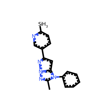 Cc1nn2nc(-c3ccc([SiH3])nc3)cc2n1-c1ccccc1